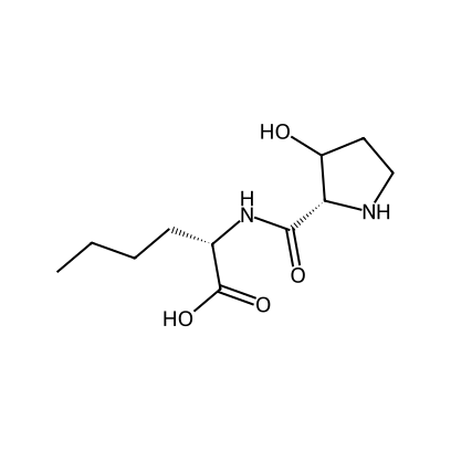 CCCC[C@H](NC(=O)[C@H]1NCCC1O)C(=O)O